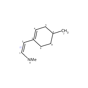 CN/C=C\C1=CCC(C)CC1